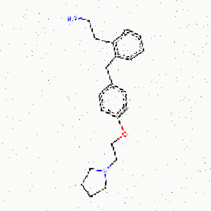 NCCc1ccc[c]c1Cc1ccc(OCCN2CCCC2)cc1